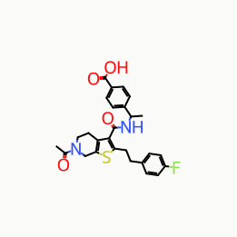 CC(=O)N1CCc2c(sc(CCc3ccc(F)cc3)c2C(=O)NC(C)c2ccc(C(=O)O)cc2)C1